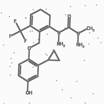 CN(N)C(=O)N(N)C1=C(COc2ccc(O)cc2C2CC2)C(C(F)(F)F)=CCC1